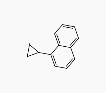 [CH]1CC1c1cccc2ccccc12